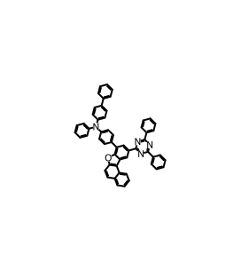 c1ccc(-c2ccc(N(c3ccccc3)c3ccc(-c4cc(-c5nc(-c6ccccc6)nc(-c6ccccc6)n5)cc5c4oc4ccc6ccccc6c45)cc3)cc2)cc1